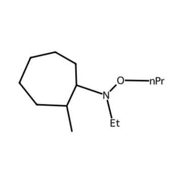 CCCON(CC)C1CCCCCC1C